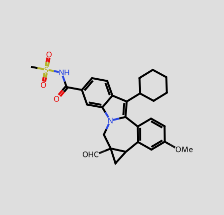 COc1ccc2c(c1)C1CC1(C=O)Cn1c-2c(C2CCCCC2)c2ccc(C(=O)NS(C)(=O)=O)cc21